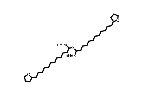 CCCCCCC(CCCCCCCCCCCC1CCCO1)SC(CCCCCC)CCCCCCCCCCCC1CCCO1